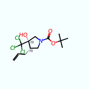 C=CC[C@H]1CN(C(=O)OC(C)(C)C)C[C@]1(O)C(Cl)(Cl)Cl